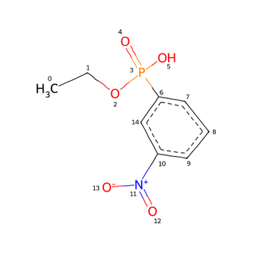 CCOP(=O)(O)c1cccc([N+](=O)[O-])c1